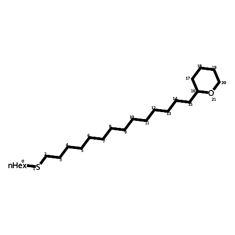 CCCCCCSCCCCCCCCCCCCCCC1CCCCO1